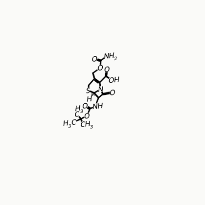 CC(C)(C)OC(=O)NC1C(=O)N2C(C(=O)O)=C(COC(N)=O)CS[C@H]12